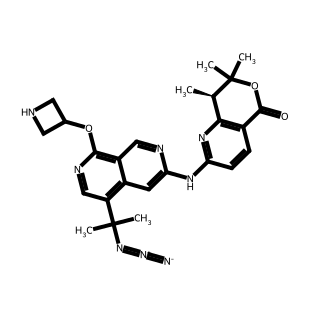 C[C@@H]1c2nc(Nc3cc4c(C(C)(C)N=[N+]=[N-])cnc(OC5CNC5)c4cn3)ccc2C(=O)OC1(C)C